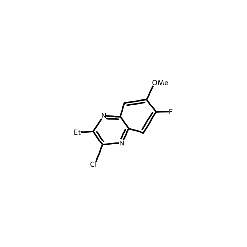 CCc1nc2cc(OC)c(F)cc2nc1Cl